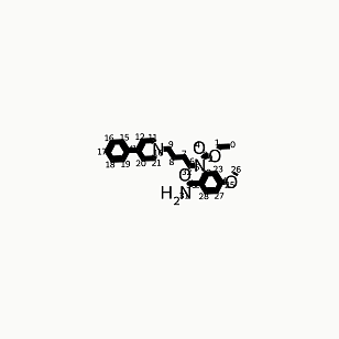 CCOC(=O)N(CCCCN1CC=C(c2ccccc2)CC1)c1cc(OC)ccc1C(N)=O